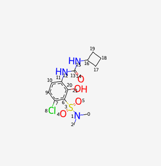 CN(C)S(=O)(=O)c1c(Cl)ccc(NC(=O)NC2CCC2)c1O